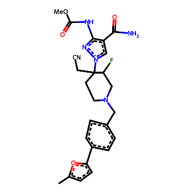 COC(=O)Nc1nn(C2(CC#N)CCN(Cc3ccc(-c4ccc(C)o4)cc3)CC2F)cc1C(N)=O